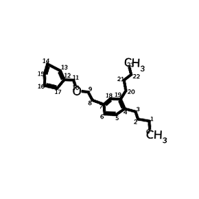 CCCCc1ccc(CCOCc2ccccc2)cc1CCCC